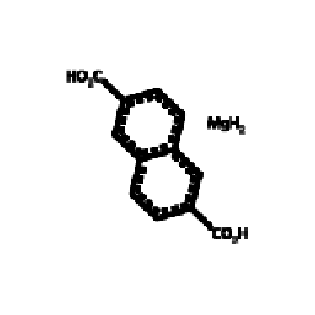 O=C(O)c1ccc2cc(C(=O)O)ccc2c1.[MgH2]